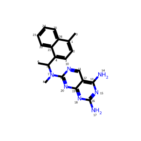 Cc1ccc(C(C)N(C)c2ncc3c(N)nc(N)nc3n2)c2ccccc12